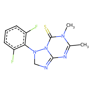 CC1=NC2=NCN(c3c(F)cccc3F)N2C(=S)N1C